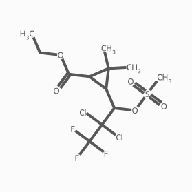 CCOC(=O)C1C(C(OS(C)(=O)=O)C(Cl)(Cl)C(F)(F)F)C1(C)C